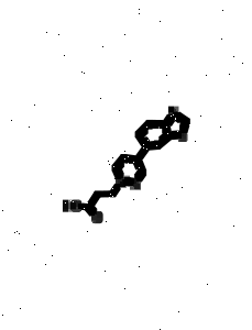 O=C(O)CC[n+]1ccc(-c2ccc3ncsc3c2)cn1